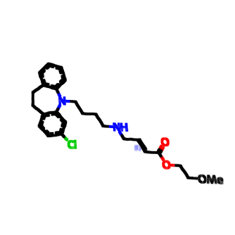 COCCOC(=O)/C=C/CNCCCCN1c2ccccc2CCc2ccc(Cl)cc21